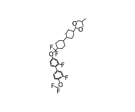 CC1COC(C2CCC(C3CCC(C(F)(F)Oc4ccc(-c5ccc(OC(F)F)c(F)c5)c(F)c4)CC3)CC2)OC1